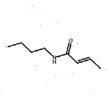 [CH2]CCCNC(=O)C=CC